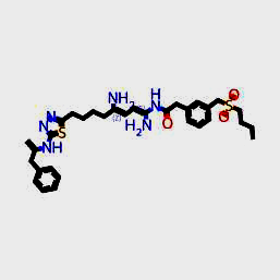 C=C(Cc1ccccc1)Nc1nnc(CCCC/C(N)=C/C=C(\N)NC(=O)Cc2cccc(CS(=O)(=O)CCCC)c2)s1